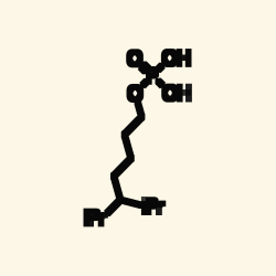 CC(C)C(CCCCOP(=O)(O)O)C(C)C